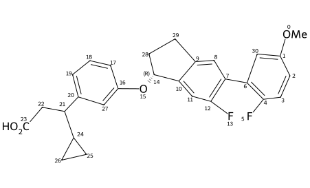 COc1ccc(F)c(-c2cc3c(cc2F)[C@H](Oc2cccc(C(CC(=O)O)C4CC4)c2)CC3)c1